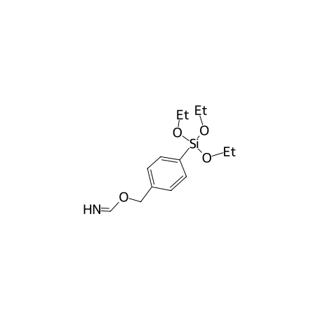 CCO[Si](OCC)(OCC)c1ccc(COC=N)cc1